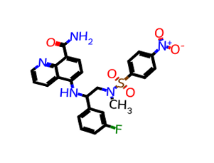 CN(CC(Nc1ccc(C(N)=O)c2ncccc12)c1cccc(F)c1)S(=O)(=O)c1ccc([N+](=O)[O-])cc1